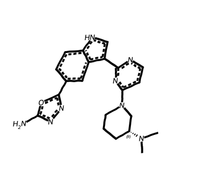 CN(C)[C@@H]1CCCN(c2ccnc(-c3c[nH]c4ccc(-c5nnc(N)o5)cc34)n2)C1